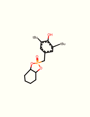 CC(C)(C)c1cc(CP2(=O)OC3CCCCC3O2)cc(C(C)(C)C)c1O